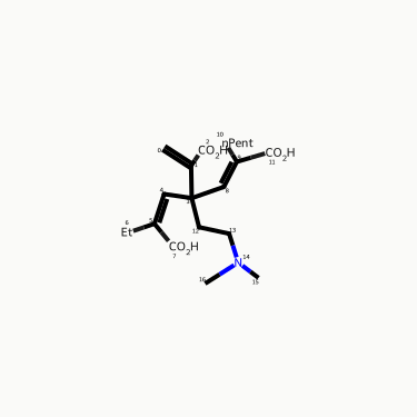 C=C(C(=O)O)C(C=C(CC)C(=O)O)(C=C(CCCCC)C(=O)O)CCN(C)C